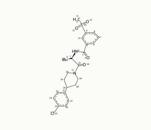 CC[C@H](C)[C@@H](NC(=O)c1cccc(S(C)(=O)=O)c1)C(=O)N1CCC(c2ccc(Cl)cc2)CC1